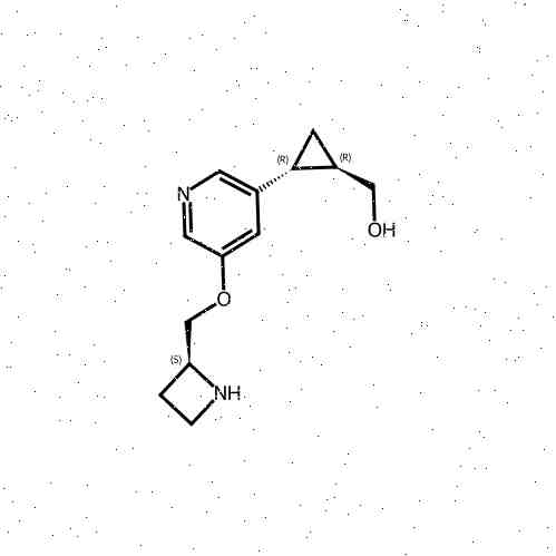 OC[C@@H]1C[C@H]1c1cncc(OC[C@@H]2CCN2)c1